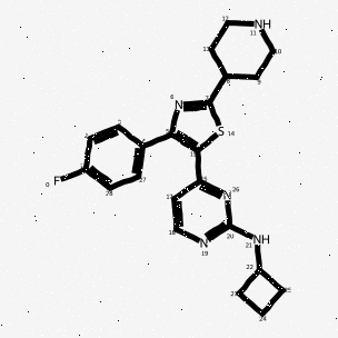 Fc1ccc(-c2nc(C3CCNCC3)sc2-c2ccnc(NC3CCC3)n2)cc1